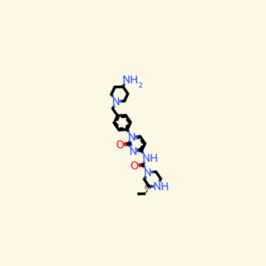 CC[C@@H]1CN(C(=O)Nc2ccn(-c3ccc(CN4CCC(N)CC4)cc3)c(=O)n2)CCN1